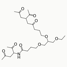 CCOCC(COCCCC(=O)NC(CC(C)=O)C(C)=O)OCCCC(=O)CC(CC(C)=O)C(C)=O